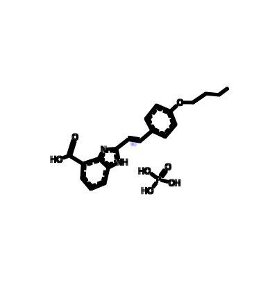 CCCCOc1ccc(/C=C/c2nc3c(C(=O)O)cccc3[nH]2)cc1.O=P(O)(O)O